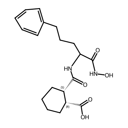 O=C(NO)C(CCCc1ccccc1)NC(=O)[C@H]1CCCC[C@H]1C(=O)O